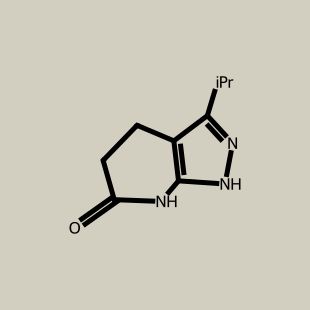 CC(C)c1n[nH]c2c1CCC(=O)N2